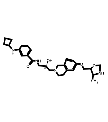 CC1NCOC1COc1ccc2c(c1)CCN(C[C@@H](O)CNC(=O)c1cccc(NC3CCC3)c1)C2